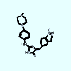 CN1CCN(c2ccc(NC3=N/C(=C\c4ccc5[nH]ncc5c4)C(=O)N3)cc2)CC1